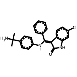 CC(C)(N)c1ccc(N/C(=C2\C(=O)Nc3cc(Cl)ccc32)c2ccccc2)cc1